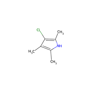 Cc1[nH]c(C)c(Cl)c1C